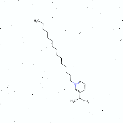 CCCCCCCCCCCCCCC[n+]1cccc(C(C)C)c1